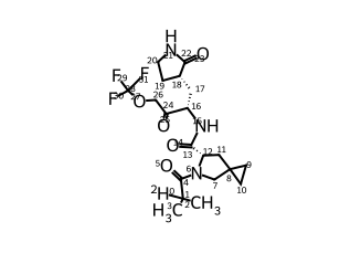 [2H]C(C)(C)C(=O)N1CC2(CC2)C[C@H]1C(=O)N[C@@H](C[C@@H]1CCNC1=O)C(=O)COC(F)(F)F